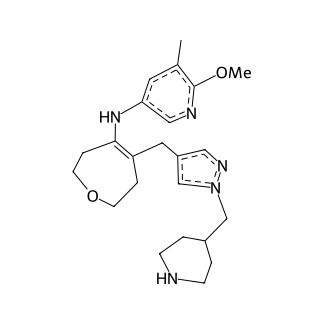 COc1ncc(NC2=C(Cc3cnn(CC4CCNCC4)c3)CCOCC2)cc1C